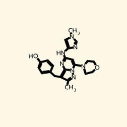 Cc1nn2c(N3CCOCC3)cc(Nc3cn(C)cn3)nc2c1Cc1ccc(O)cc1